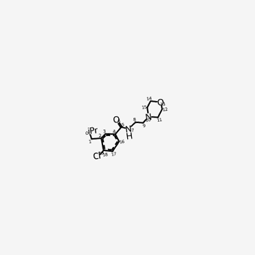 CC(C)Cc1cc(C(=O)NCCN2CCOCC2)ccc1Cl